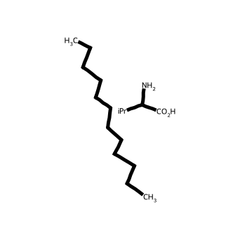 CC(C)C(N)C(=O)O.CCCCCCCCCCCC